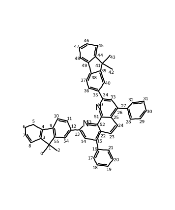 CC1(C)C2=C(CCC=C2)c2ccc(-c3cc(-c4ccccc4)c4ccc5c(-c6ccccc6)cc(-c6ccc7c(c6)C(C)(C)c6ccccc6-7)nc5c4n3)cc21